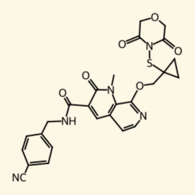 Cn1c(=O)c(C(=O)NCc2ccc(C#N)cc2)cc2ccnc(OCC3(SN4C(=O)COCC4=O)CC3)c21